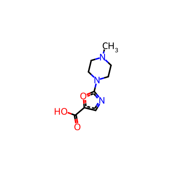 CN1CCN(c2ncc(C(=O)O)o2)CC1